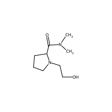 CN(C)C(=O)C1CCCN1CCO